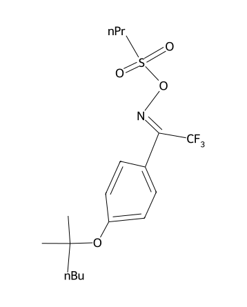 CCCCC(C)(C)Oc1ccc(/C(=N/OS(=O)(=O)CCC)C(F)(F)F)cc1